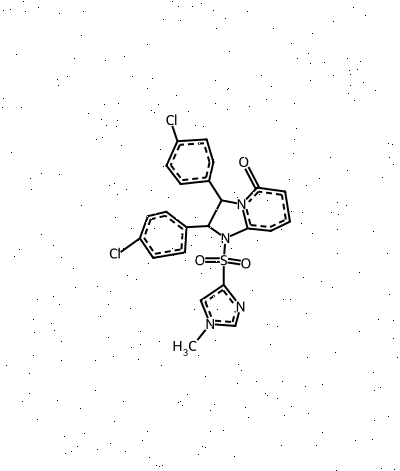 Cn1cnc(S(=O)(=O)N2c3cccc(=O)n3C(c3ccc(Cl)cc3)C2c2ccc(Cl)cc2)c1